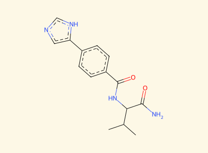 CC(C)C(NC(=O)c1ccc(-c2cnc[nH]2)cc1)C(N)=O